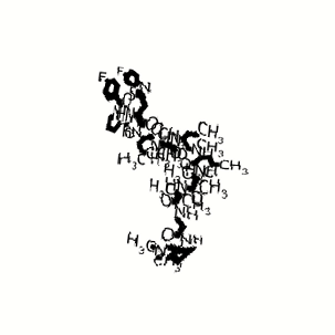 CC(C)CC(NC(=O)C(Cc1nc2ccc(F)cc2s1)NC(=O)[C@@H]1CCCN1C(=O)c1ccc(F)cc1)C(=O)NC(C)(C)C(=O)NC(CC(C)C)C(=O)NC(CC(C)C)C(=O)NC(C)(C)C(=O)NC(C)(C)C(=O)NCCC(=O)NC1(CN(C)C)CCC1